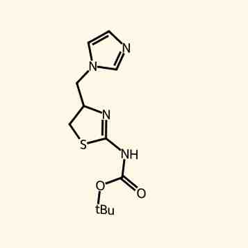 CC(C)(C)OC(=O)NC1=NC(Cn2ccnc2)CS1